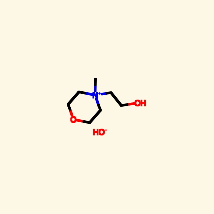 C[N+]1(CCO)CCOCC1.[OH-]